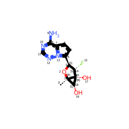 C[C@]12O[C@@H](c3ccc4c(N)ncnn34)[C@H](F)[C@@]1(O)[C@@H]2O